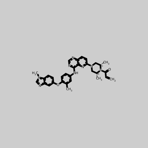 C=CC(=O)N1[C@H](C)CN(c2ccc3ncnc(Nc4ccc(Oc5ccc6c(c5)ncn6C)c(C)c4)c3n2)C[C@@H]1C